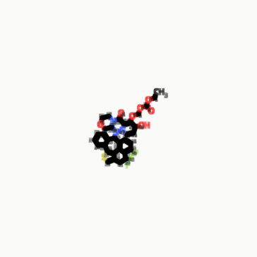 CCOC(=O)OCOC1=C2C(=O)N3CCOCC3N(C3c4ccccc4-c4scc5c4-c4c3ccc(F)c4C(F)(F)C5)N2C=CC1O